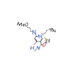 CCSc1c(C(N)=O)c(C)cc(N(C)CCCOC)[n+]1CCCC(C)(C)C